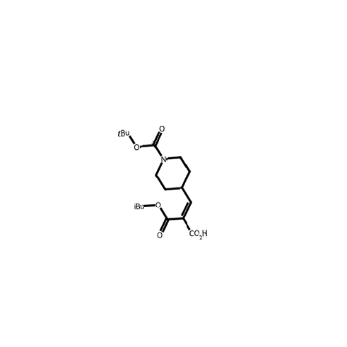 CCC(C)OC(=O)C(=CC1CCN(C(=O)OC(C)(C)C)CC1)C(=O)O